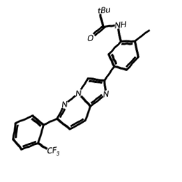 Cc1ccc(-c2cn3nc(-c4ccccc4C(F)(F)F)ccc3n2)cc1NC(=O)C(C)(C)C